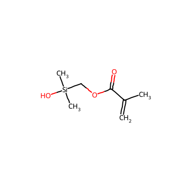 C=C(C)C(=O)OC[Si](C)(C)O